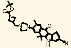 Cc1cc2c(cc1N1CCN(CC3CN(C(=O)OC(C)(C)C)C3)CC1)C(C)(C)c1[nH]c3cc(C#N)ccc3c1C2=O